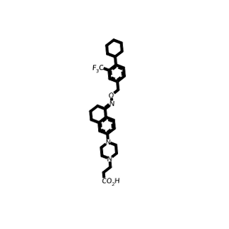 O=C(O)CCN1CCN(c2ccc3c(c2)CCCC3=NOCc2ccc(C3CCCCC3)c(C(F)(F)F)c2)CC1